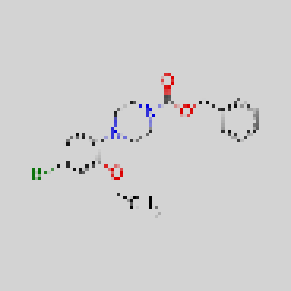 CCOc1cc(Br)ccc1N1CCN(C(=O)OCc2ccccc2)CC1